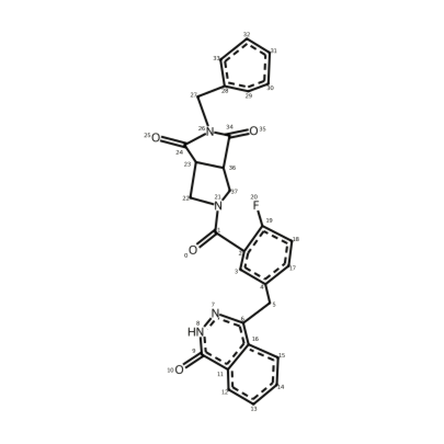 O=C(c1cc(Cc2n[nH]c(=O)c3ccccc23)ccc1F)N1CC2C(=O)N(Cc3ccccc3)C(=O)C2C1